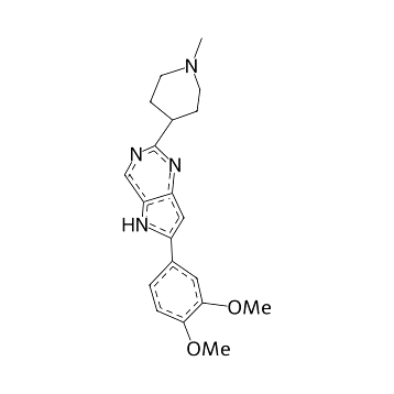 COc1ccc(-c2cc3nc(C4CCN(C)CC4)ncc3[nH]2)cc1OC